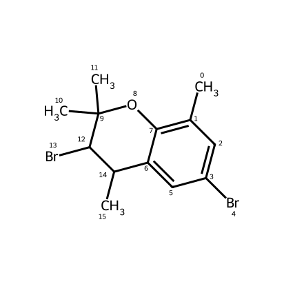 Cc1cc(Br)cc2c1OC(C)(C)C(Br)C2C